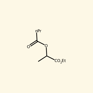 CCCC(=O)OC(C)C(=O)OCC